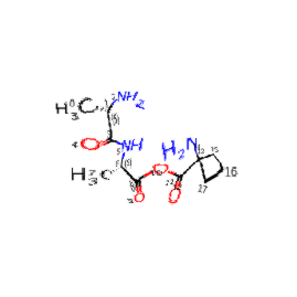 C[C@H](N)C(=O)N[C@@H](C)C(=O)OC(=O)C1(N)CCC1